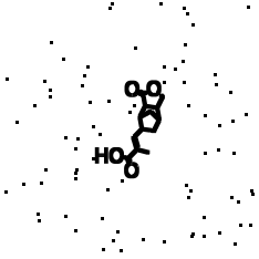 C/C(=C\C1CC2CC1C1C(=O)OCC21)C(=O)O